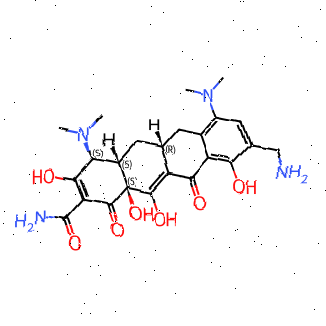 CN(C)c1cc(CN)c(O)c2c1C[C@H]1C[C@H]3[C@H](N(C)C)C(O)=C(C(N)=O)C(=O)[C@@]3(O)C(O)=C1C2=O